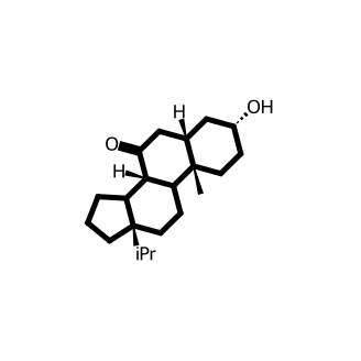 CC(C)[C@@]12CCCC1[C@@H]1C(=O)C[C@@H]3C[C@H](O)CC[C@]3(C)C1CC2